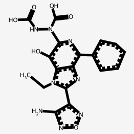 CCn1c(-c2nonc2N)nc2c(-c3ccccc3)nc(N(NC(=O)O)C(=O)O)c(O)c21